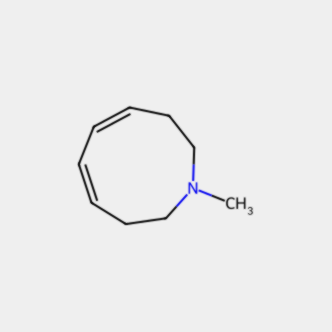 CN1CC/C=C\C=C/CC1